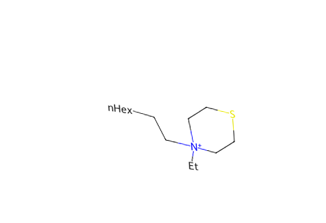 CCCCCCCC[N+]1(CC)CCSCC1